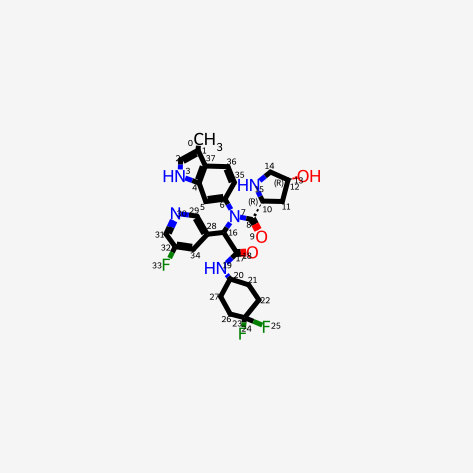 Cc1c[nH]c2cc(N(C(=O)[C@H]3C[C@@H](O)CN3)C(C(=O)NC3CCC(F)(F)CC3)c3cncc(F)c3)ccc12